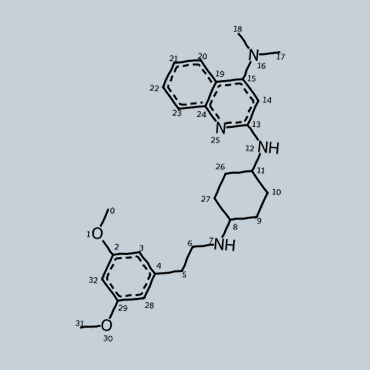 COc1cc(CCNC2CCC(Nc3cc(N(C)C)c4ccccc4n3)CC2)cc(OC)c1